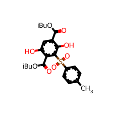 Cc1ccc(S(=O)(=O)c2c(O)c(C(=O)OCC(C)C)cc(O)c2C(=O)OCC(C)C)cc1